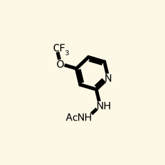 CC(=O)NNc1cc(OC(F)(F)F)ccn1